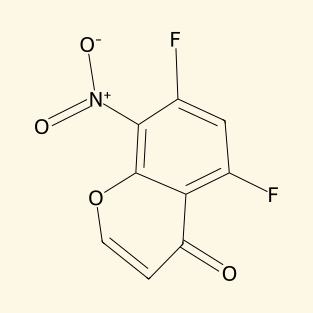 O=c1ccoc2c([N+](=O)[O-])c(F)cc(F)c12